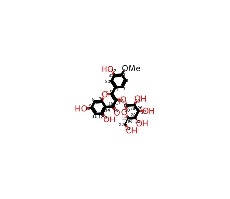 COc1ccc(-c2oc3cc(O)cc(O)c3c(=O)c2O[C@@H]2O[C@H](CO)[C@@H](O)C(O)C2O)cc1O